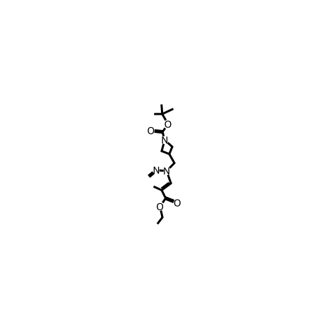 C=NN(/C=C(\C)C(=O)OCC)CC1CN(C(=O)OC(C)(C)C)C1